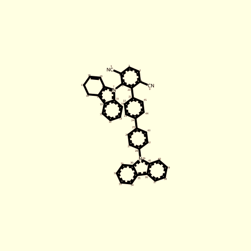 N#Cc1ccc(C#N)c(-n2c3c(c4ccccc42)CCC=C3)c1-c1ccc(-c2ccc(-n3c4ccccc4c4ccccc43)cc2)cc1